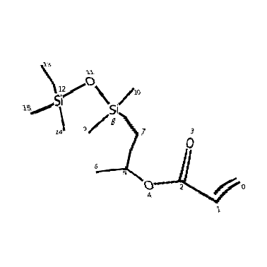 C=CC(=O)OC(C)C[Si](C)(C)O[Si](C)(C)C